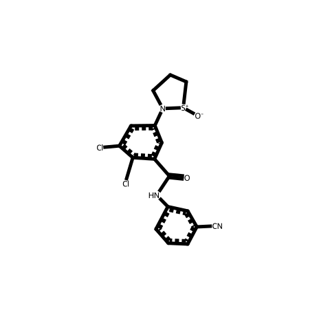 N#Cc1cccc(NC(=O)c2cc(N3CCC[S+]3[O-])cc(Cl)c2Cl)c1